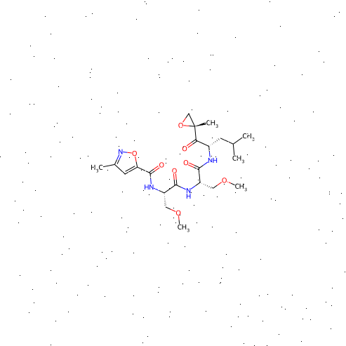 COC[C@H](NC(=O)c1cc(C)no1)C(=O)N[C@@H](COC)C(=O)N[C@@H](CC(C)C)C(=O)[C@@]1(C)CO1